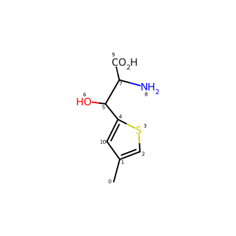 Cc1csc(C(O)C(N)C(=O)O)c1